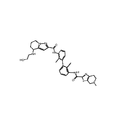 Cc1c(NC(=O)c2cc3n(n2)CCCC3NCCO)cccc1-c1cccc(NC(=O)c2nc3c(s2)CN(C)CC3)c1C